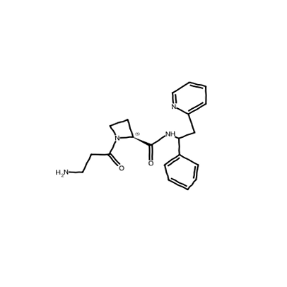 NCCC(=O)N1CC[C@H]1C(=O)NC(Cc1ccccn1)c1ccccc1